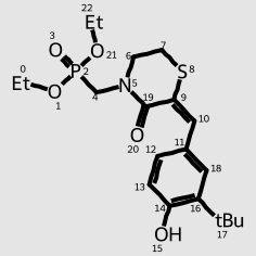 CCOP(=O)(CN1CCSC(=Cc2ccc(O)c(C(C)(C)C)c2)C1=O)OCC